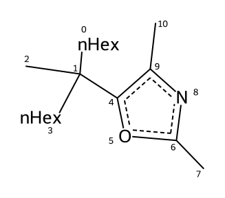 CCCCCCC(C)(CCCCCC)c1oc(C)nc1C